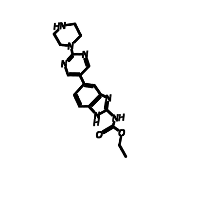 CCOC(=O)Nc1nc2cc(-c3cnc(N4CCNCC4)nc3)ccc2[nH]1